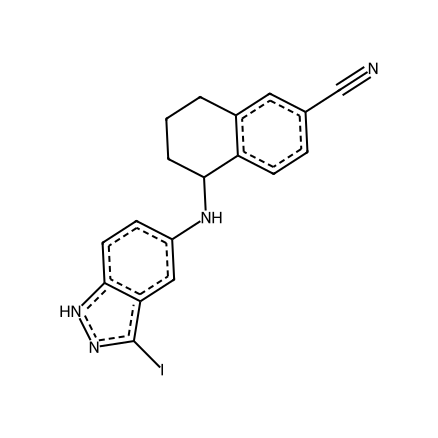 N#Cc1ccc2c(c1)CCCC2Nc1ccc2[nH]nc(I)c2c1